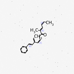 CC=C(/C=C\CC(=O)/C(C)=C/C=C\C)/C=C/c1ccccc1